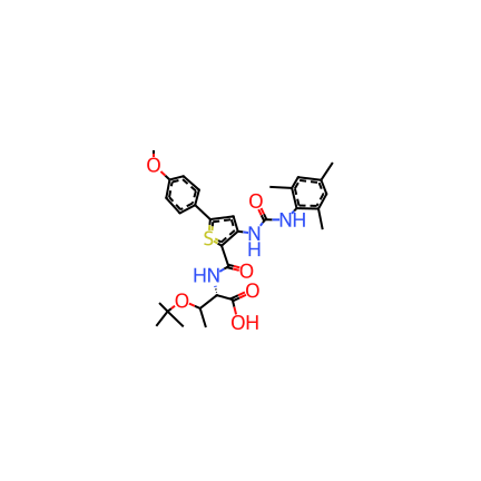 COc1ccc(-c2cc(NC(=O)Nc3c(C)cc(C)cc3C)c(C(=O)N[C@H](C(=O)O)C(C)OC(C)(C)C)s2)cc1